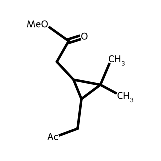 COC(=O)CC1C(CC(C)=O)C1(C)C